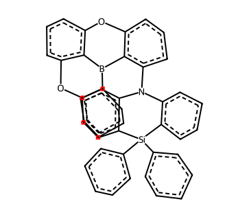 c1ccc([Si]2(c3ccccc3)c3ccccc3N(c3cccc4c3B3c5ccccc5Oc5cccc(c53)O4)c3ccccc32)cc1